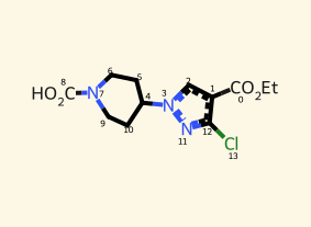 CCOC(=O)c1cn(C2CCN(C(=O)O)CC2)nc1Cl